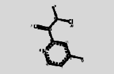 Cc1ccnc(C(=O)C(C)Cl)c1